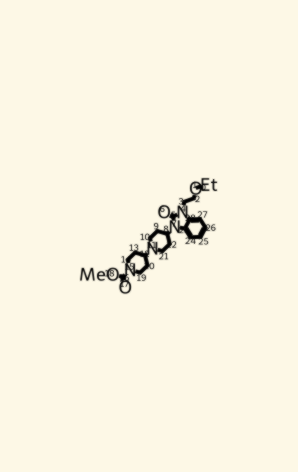 CCOCCn1c(=O)n(C2CCN(C3CCN(C(=O)OC)CC3)CC2)c2ccccc21